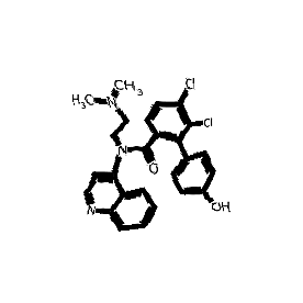 CN(C)CCN(C(=O)c1ccc(Cl)c(Cl)c1-c1ccc(O)cc1)c1ccnc2ccccc12